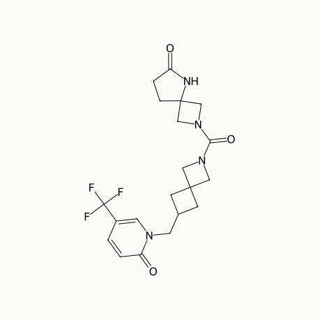 O=C1CCC2(CN(C(=O)N3CC4(CC(Cn5cc(C(F)(F)F)ccc5=O)C4)C3)C2)N1